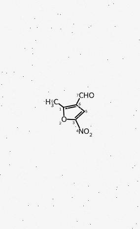 Cc1oc([N+](=O)[O-])cc1C=O